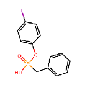 O=P(O)(Cc1ccccc1)Oc1ccc(I)cc1